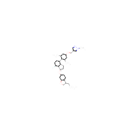 Cc1cc(OCc2cnn(C)c2)cc(C)c1-c1ccc(F)c2c1CC[C@H]2Oc1ccc2c(c1)OCC2CC(=O)O